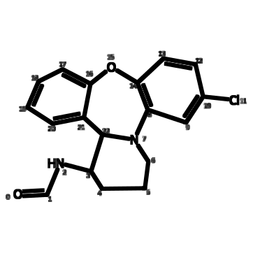 O=CNC1CCCN2c3cc(Cl)ccc3Oc3ccccc3C12